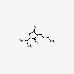 CCCCN1C(=O)CC(C(C)C)C1=O